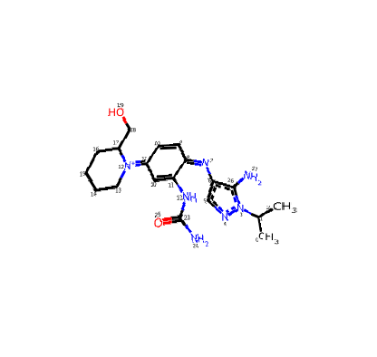 CC(C)n1ncc(/N=C2C=C/C(=[N+]3/CCCCC3CO)C=C/2NC(N)=O)c1N